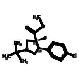 COC(=O)[C@]1(F)CN(C(C)(C)C)C[C@H]1c1ccc(Cl)cc1